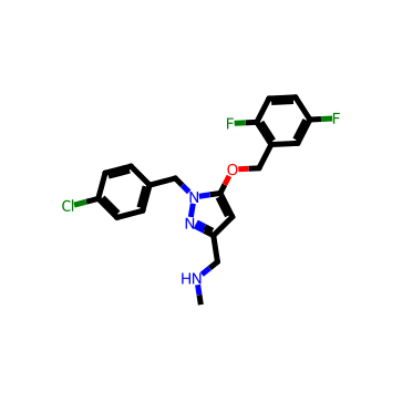 CNCc1cc(OCc2cc(F)ccc2F)n(Cc2ccc(Cl)cc2)n1